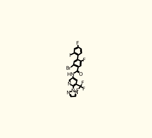 O=C(Nc1cnc(-n2nccn2)c(C(F)(F)F)c1)c1cc(F)c(-c2ccc(F)cc2I)cc1Br